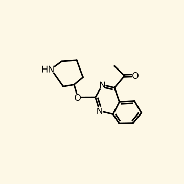 CC(=O)c1nc(OC2CCCNC2)nc2ccccc12